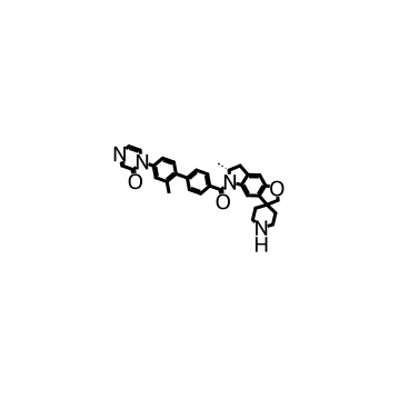 Cc1cc(-n2ccncc2=O)ccc1-c1ccc(C(=O)N2c3cc4c(cc3C[C@H]2C)OCC42CCNCC2)cc1